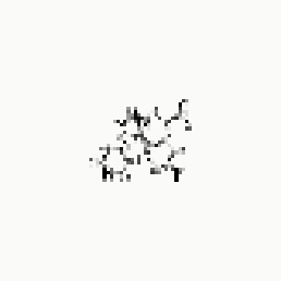 CC(C)=CCn1ncc(-c2ccncc2)c1-c1ccc(F)cc1